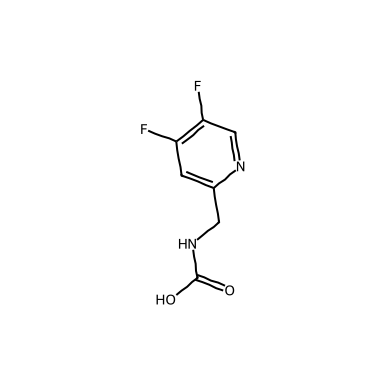 O=C(O)NCc1cc(F)c(F)cn1